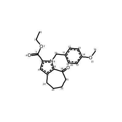 CCOC(=O)c1cc2c(n1Cc1ccc(OC)cc1)C(=O)CCCC2